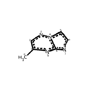 Cc1cnn2ccnc2n1